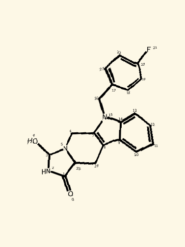 O=C1NC(O)N2Cc3c(c4ccccc4n3Cc3ccc(F)cc3)CC12